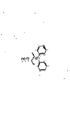 CCCC.[Cl-].[Cl-].[Pd+2].c1ccc(Pc2ccccc2)cc1